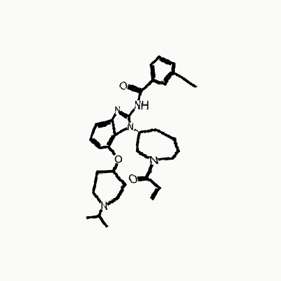 C=CC(=O)N1CCCC[C@@H](n2c(NC(=O)c3cccc(C)c3)nc3cccc(OC4CCN(C(C)C)CC4)c32)C1